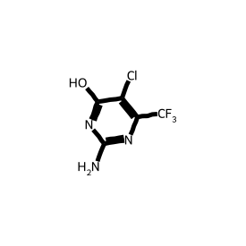 Nc1nc(O)c(Cl)c(C(F)(F)F)n1